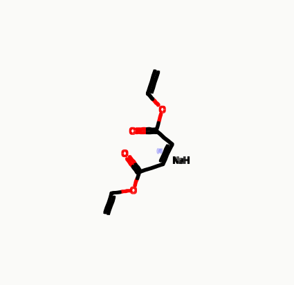 C=COC(=O)/C=C\C(=O)OC=C.[NaH]